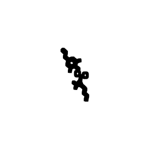 C=CC=CC1C(C(=O)OCc2c(C)cc(CC=C)cc2C)C1(C)C